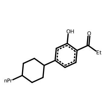 CCCC1CCC(c2ccc(C(=O)CC)c(O)c2)CC1